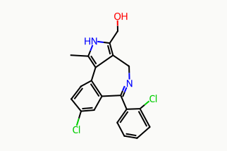 Cc1[nH]c(CO)c2c1-c1ccc(Cl)cc1C(c1ccccc1Cl)=NC2